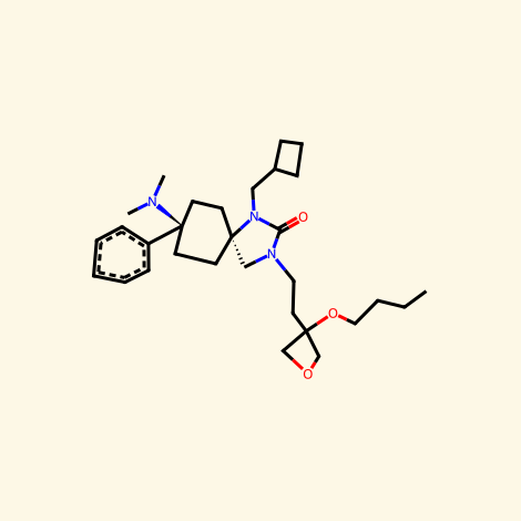 CCCCOC1(CCN2C[C@]3(CC[C@](c4ccccc4)(N(C)C)CC3)N(CC3CCC3)C2=O)COC1